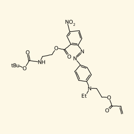 C=CC(=O)OCCN(CC)c1ccc(/N=N/c2ccc([N+](=O)[O-])cc2C(=O)OCCNC(=O)OC(C)(C)C)cc1